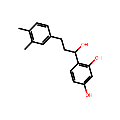 Cc1ccc(CCC(O)c2ccc(O)cc2O)cc1C